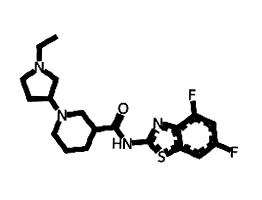 CCN1CCC(N2CCCC(C(=O)Nc3nc4c(F)cc(F)cc4s3)C2)C1